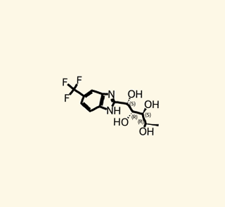 C[C@@H](O)[C@H](O)[C@H](O)[C@@H](O)c1nc2cc(C(F)(F)F)ccc2[nH]1